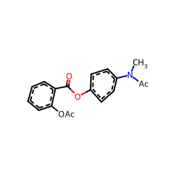 CC(=O)Oc1ccccc1C(=O)Oc1ccc(N(C)C(C)=O)cc1